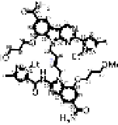 CCn1nc(C)cc1C(=O)Nc1nc2cc(C(N)=O)cc(OCCCOC)c2n1C/C=C/Cn1c2nc(-c3cc(C)nn3CC)ncc2c2cc(C(N)=O)cc(OCCCO)c21